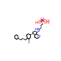 O=P(O)(O)CCCNCc1ccc(-c2ccc(CCCc3ccccc3)c(F)c2)c2cccnc12